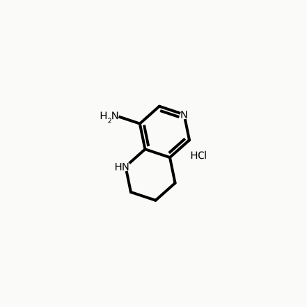 Cl.Nc1cncc2c1NCCC2